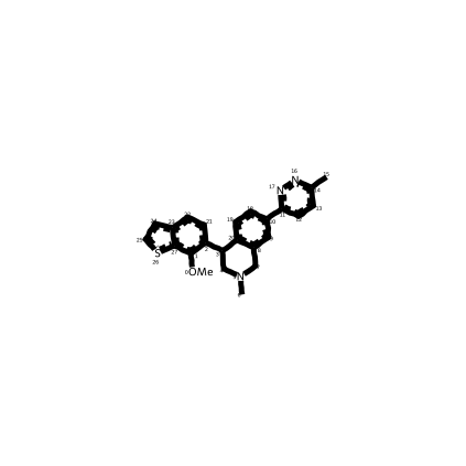 COc1c(C2CN(C)Cc3cc(-c4ccc(C)nn4)ccc32)ccc2ccsc12